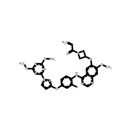 C=CC(=O)N1CC(Oc2cc3c(Nc4ccc(Oc5ccn(-c6nc(OC)nc(OC)n6)n5)cc4F)ncnc3cc2OC)C1